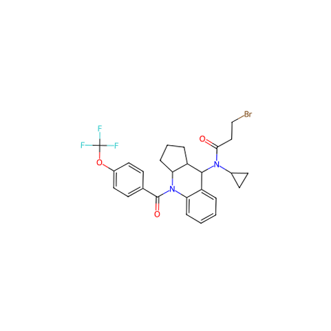 O=C(c1ccc(OC(F)(F)F)cc1)N1c2ccccc2C(N(C(=O)CCBr)C2CC2)C2CCCC21